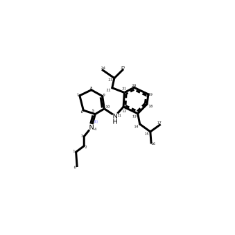 CCCC/N=C1\CCCC=C1Nc1c(CC(C)C)cccc1CC(C)C